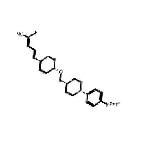 CCCCCc1ccc([C@H]2CC[C@H](CO[C@H]3CC[C@H](/C=C/C=C(\F)C#N)CC3)CC2)cc1